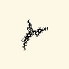 CCCCOC(=O)CN(Cc1ccc2sc(C(=O)OCCCC)cc2c1)C(=O)CC1CCCc2cc(O)ccc21